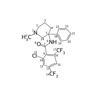 CN1CCCC(NC(=O)c2c(Cl)cc(C(F)(F)F)cc2C(F)(F)F)(c2ccccc2)C1